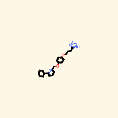 c1ccc(-c2cccc(COc3ccc(OCCCc4nnn[nH]4)cc3)n2)cc1